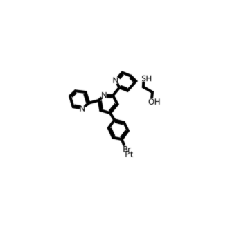 Brc1ccc(-c2cc(-c3ccccn3)nc(-c3ccccn3)c2)cc1.OCCS.[Pt]